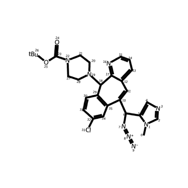 Cn1cncc1C(N=[N+]=[N-])C1=Cc2cccnc2C(N2CCN(C(=O)OC(C)(C)C)CC2)c2ccc(Cl)cc21